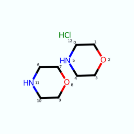 C1COCCN1.C1COCCN1.Cl